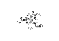 [CH2]NC(=O)CC.[CH2]NC(=O)c1ccccc1.[CH2]NC(C)=O.[CH2]c1ccccc1